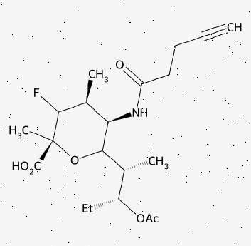 C#CCCC(=O)N[C@H]1C([C@H](C)[C@@H](CC)OC(C)=O)O[C@@](C)(C(=O)O)C(F)[C@H]1C